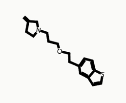 C=C1CCN(CCCOCCc2ccc3sccc3c2)C1